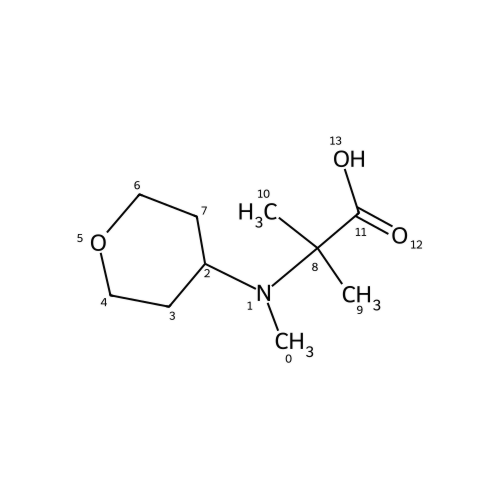 CN(C1CCOCC1)C(C)(C)C(=O)O